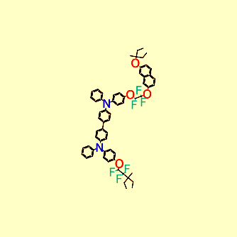 CCC(C)(CC)Oc1ccc2ccc(OC(F)(F)C(F)Oc3ccc(N(c4ccccc4)c4ccc(-c5ccc(N(c6ccccc6)c6ccc(OC(F)C(F)(F)C(C)(CC)CC)cc6)cc5)cc4)cc3)cc2c1